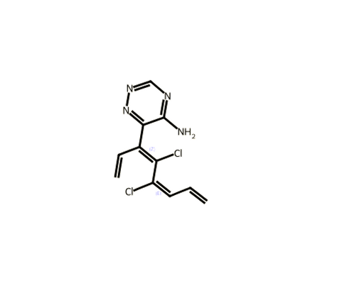 C=C/C=C(Cl)\C(Cl)=C(/C=C)c1nncnc1N